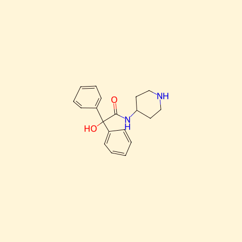 O=C(NC1CCNCC1)C(O)(c1ccccc1)c1ccccc1